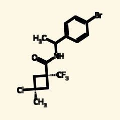 CC(NC(=O)[C@]1(C(F)(F)F)C[C@](C)(Cl)C1)c1ccc(Br)cc1